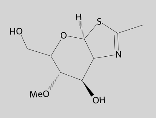 CO[C@@H]1C(CO)O[C@H]2SC(C)=NC2[C@H]1O